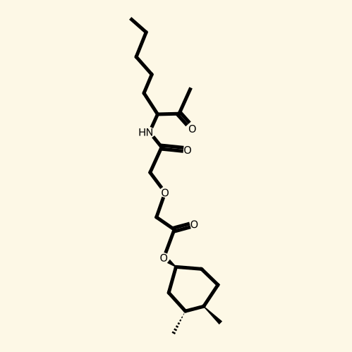 CCCCCC(NC(=O)COCC(=O)O[C@H]1CC[C@@H](C)[C@H](C)C1)C(C)=O